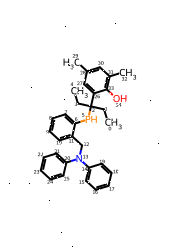 CCC(CC)(Pc1ccccc1CN(c1ccccc1)c1ccccc1)c1cc(C)cc(C)c1O